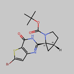 CC(C)(C)OC(=O)N1CC[C@@H]2C[C@@]21c1nc2cc(Br)sc2c(=O)[nH]1